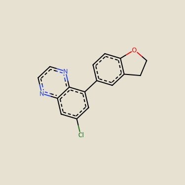 Clc1cc(-c2ccc3c(c2)CCO3)c2nccnc2c1